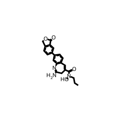 CCCN(O)C(=O)C1=Cc2ccc(-c3ccc4c(c3)C(=O)OC4)cc2N=C(N)C1